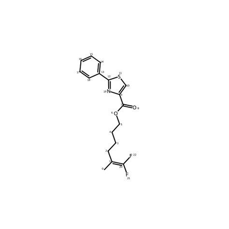 CC(CCCCOC(=O)c1csc(-c2ccccc2)n1)=C(F)F